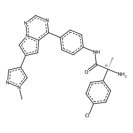 Cn1cc(-c2cc3c(-c4ccc(NC(=O)[C@@](C)(N)c5ccc(Cl)cc5)cc4)ncnn3c2)cn1